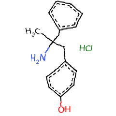 CC(N)(Cc1ccc(O)cc1)c1ccccc1.Cl